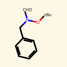 CCCCON(C=O)Cc1ccccc1